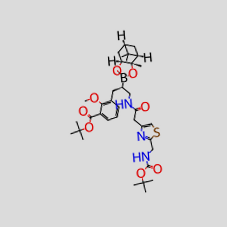 COc1c(C[C@H](CNC(=O)Cc2csc(CNC(=O)OC(C)(C)C)n2)B2O[C@@H]3C[C@@H]4C[C@@H](C4(C)C)[C@]3(C)O2)cccc1C(=O)OC(C)(C)C